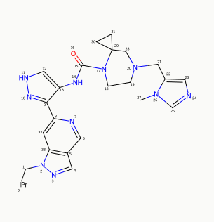 CC(C)Cn1ncc2cnc(-c3n[nH]cc3NC(=O)N3CCN(Cc4cncn4C)CC34CC4)cc21